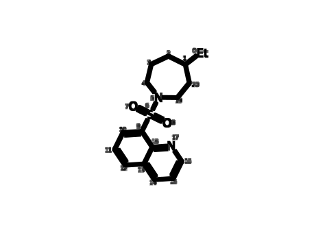 CCC1CCCN(S(=O)(=O)c2cccc3cccnc23)CC1